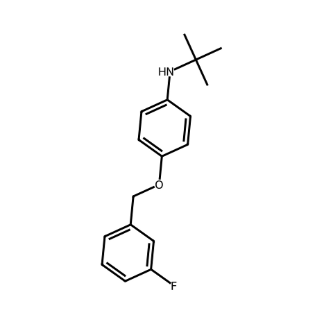 CC(C)(C)Nc1ccc(OCc2cccc(F)c2)cc1